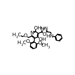 CCOCc1nc(O)c(-c2nnc(CNc3ccccc3)o2)c(O)c1-c1c(OC)cccc1OC